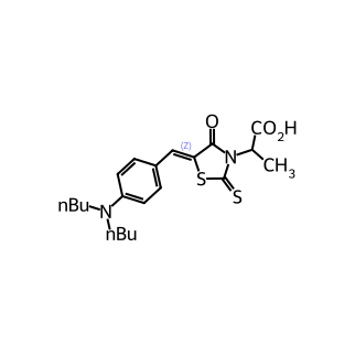 CCCCN(CCCC)c1ccc(/C=C2\SC(=S)N(C(C)C(=O)O)C2=O)cc1